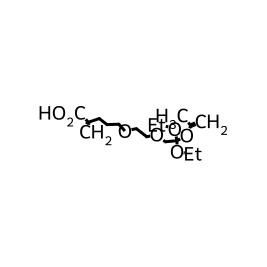 C=C(C)OC(COCCOCCCC(=C)C(=O)O)(OCC)OCC